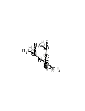 CCCCCCCSC(=O)N(CC1CCN(C)CC1)C(CCCCC(=O)OCCCCCC(OCCCCC)OCCCCC)CCCCC(=O)OCCCCCC(OCCCCC)OCCCCC